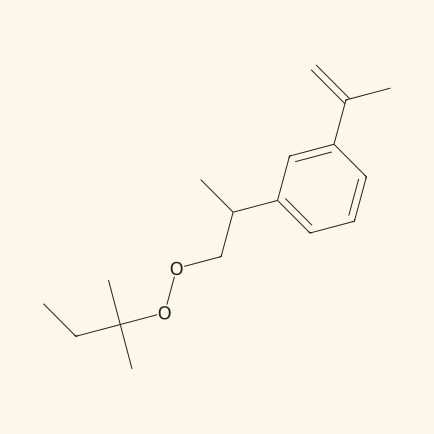 C=C(C)c1cccc(C(C)COOC(C)(C)CC)c1